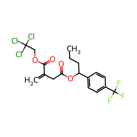 C=C(CC(=O)OC(CCC)c1ccc(C(F)(F)F)cc1)C(=O)OCC(Cl)(Cl)Cl